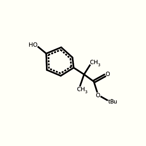 CC(C)(C)OC(=O)C(C)(C)c1ccc(O)cc1